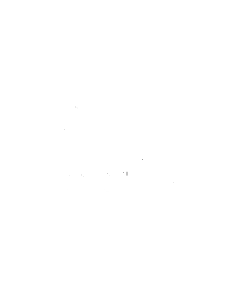 C=CC(C)(C#N)C(=O)N[C@H](C(=O)N[C@@H](C)C(=O)N1CCC[C@@H](C(=O)OCC(Cl)(Cl)Cl)N1)C(C)C